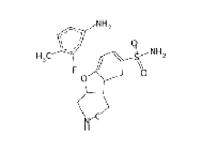 Cc1ccc(N)cc1F.NS(=O)(=O)C1=CC=C2OC3CNCCC3C2C1